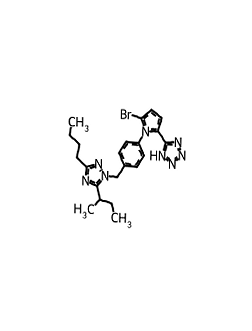 CCCCc1nc(C(C)CC)n(Cc2ccc(-n3c(Br)ccc3-c3nnn[nH]3)cc2)n1